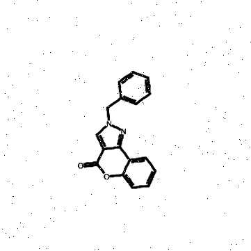 O=c1oc2ccccc2c2nn(Cc3ccccc3)cc12